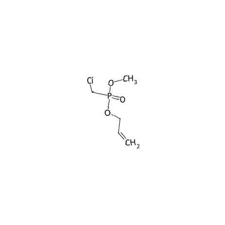 C=CCOP(=O)(CCl)OC